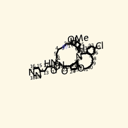 CO[C@H]1/C=C/CCCS(=O)(NC(=O)CCc2ccncn2)=NC(=O)c2ccc3c(c2)N(Cc2ccc(Cl)cc2CCCCO3)C[C@@H]2CC[C@H]21